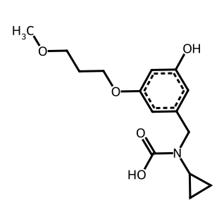 COCCCOc1cc(O)cc(CN(C(=O)O)C2CC2)c1